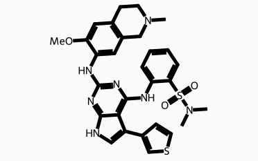 COc1cc2c(cc1Nc1nc(Nc3ccccc3S(=O)(=O)N(C)C)c3c(-c4ccsc4)c[nH]c3n1)CN(C)CC2